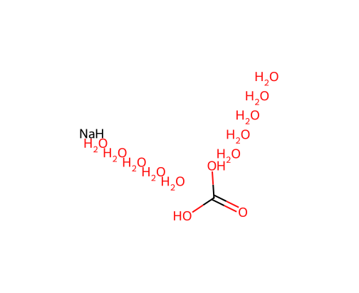 O.O.O.O.O.O.O.O.O.O.O=C(O)O.[NaH]